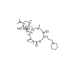 CCN1C[C@H](C)C[C@@](C)(OC)[C@H](O[C@@H]2O[C@H](C)C[C@H](N(C)C)[C@H]2O)[C@@H](C)C(=O)C(C)(C)C(=O)OC[C@@H]1CCCN1CCCCC1